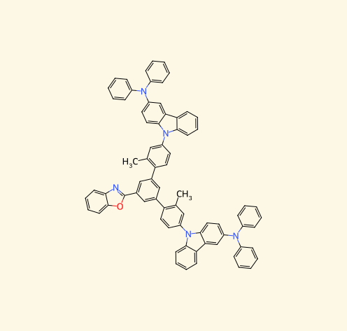 Cc1cc(-n2c3ccccc3c3cc(N(c4ccccc4)c4ccccc4)ccc32)ccc1-c1cc(-c2nc3ccccc3o2)cc(-c2ccc(-n3c4ccccc4c4cc(N(c5ccccc5)c5ccccc5)ccc43)cc2C)c1